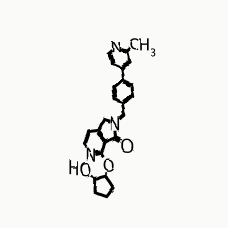 Cc1cc(-c2ccc(CN3Cc4ccnc(O[C@@H]5CCC[C@H]5O)c4C3=O)cc2)ccn1